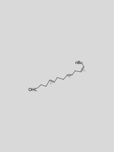 CCCC/C=C\C/C=C/CC/C=C/CCC=O